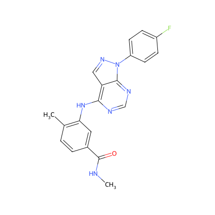 CNC(=O)c1ccc(C)c(Nc2ncnc3c2cnn3-c2ccc(F)cc2)c1